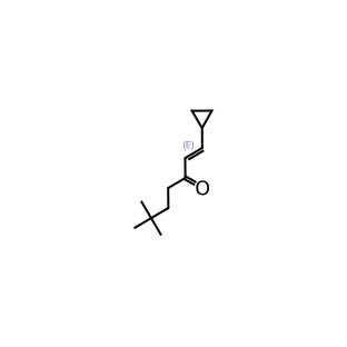 CC(C)(C)CCC(=O)/C=C/C1CC1